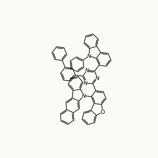 c1ccc(-c2cccc(-c3nc(-c4ccc5oc6ccccc6c5c4-n4c5ccccc5c5cc6ccccc6cc54)nc(-c4cccc5c6ccccc6n(-c6ccccc6)c45)n3)c2)cc1